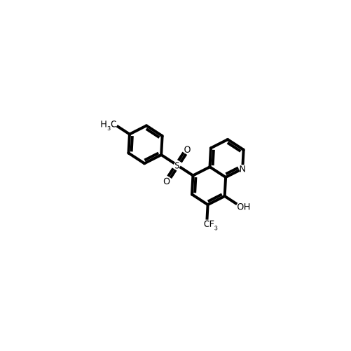 Cc1ccc(S(=O)(=O)c2cc(C(F)(F)F)c(O)c3ncccc23)cc1